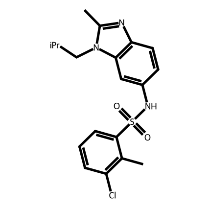 Cc1c(Cl)cccc1S(=O)(=O)Nc1ccc2nc(C)n(CC(C)C)c2c1